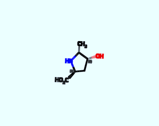 CC1N[C@H](C(=O)O)C[C@H]1O